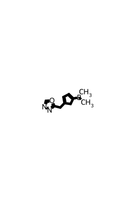 CB(C)C1=CC=C(Cc2nnco2)C1